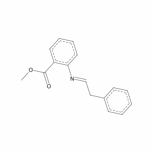 COC(=O)c1ccccc1/N=C/Cc1ccccc1